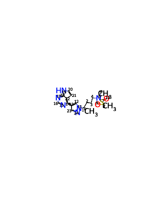 CC(CCCN(C)S(C)(=O)=O)n1cc(-c2ncnc3[nH]ccc23)cn1